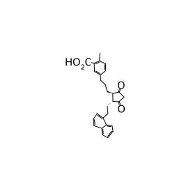 Cc1ccc(CCC[C@H]2C(=O)CC(=O)[C@@H]2CCc2cccc3ccccc23)cc1C(=O)O